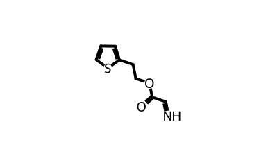 N=CC(=O)OCCc1cccs1